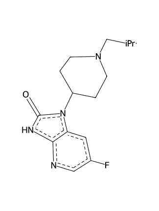 C[C](C)CN1CCC(n2c(=O)[nH]c3ncc(F)cc32)CC1